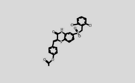 CC(=O)Oc1ccc(C=C2Sc3ccc(S(=O)(=O)Cc4c(Cl)cccc4Cl)cc3NC2=O)cc1